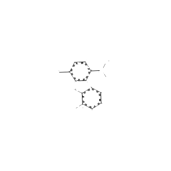 Cc1ccc(B(O)O)cc1.Oc1ccccc1O